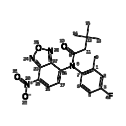 Cc1cc(F)ccc1N(C(=O)CC(C)(C)C)c1ccc([N+](=O)[O-])c2nonc12